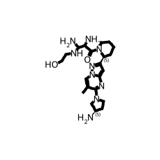 Cc1cn2nc([C@@H]3CCCCN3C(=O)C(N)C(N)NCCO)cc2nc1N1CC[C@H](N)C1